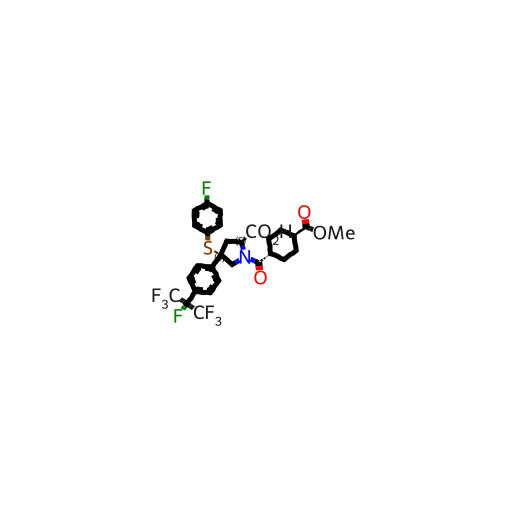 COC(=O)[C@H]1CC[C@H](C(=O)N2C[C@@](Sc3ccc(F)cc3)(c3ccc(C(F)(C(F)(F)F)C(F)(F)F)cc3)C[C@H]2C(=O)O)CC1